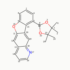 CC1(C)OB(c2cccc3oc4cc5cccnc5cc4c23)OC1(C)C